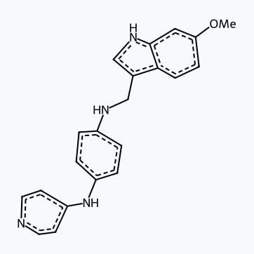 COc1ccc2c(CNc3ccc(Nc4ccncc4)cc3)c[nH]c2c1